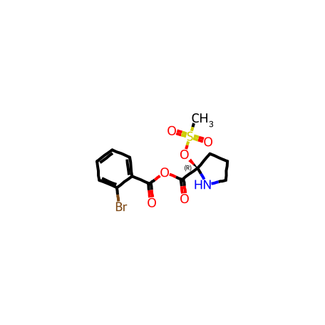 CS(=O)(=O)O[C@@]1(C(=O)OC(=O)c2ccccc2Br)CCCN1